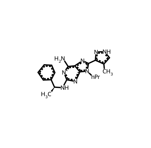 CCCn1c(-c2n[nH]cc2C)nc2c(N)nc(N[C@@H](C)c3ccccc3)nc21